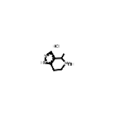 CC1NCCc2[nH]ncc21.Cl.Cl